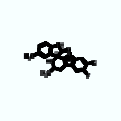 Cc1ccc2c(c1)[C@]1(NC(C)Cc3c1[nH]c1cc(Cl)c(F)cc31)C(=O)N2